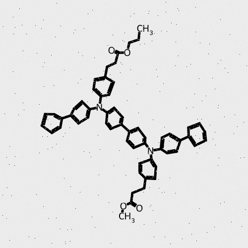 CCCOC(=O)CCc1ccc(N(c2ccc(-c3ccccc3)cc2)c2ccc(-c3ccc(N(c4ccc(CCC(=O)OC)cc4)c4ccc(-c5ccccc5)cc4)cc3)cc2)cc1